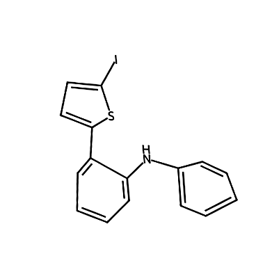 Ic1ccc(-c2ccccc2Nc2ccccc2)s1